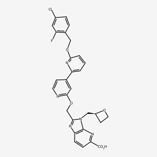 O=C(O)c1ccc2nc(COc3cc(-c4cccc(OCc5ccc(Cl)cc5F)n4)ccn3)n(C[C@@H]3CCO3)c2n1